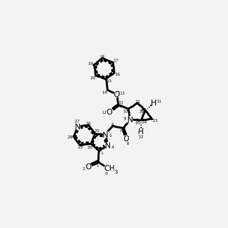 CC(=O)c1nn(CC(=O)N2C(C(=O)OCc3ccccc3)C[C@H]3C[C@H]32)c2cnccc12